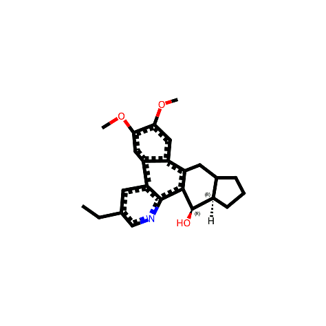 CCc1cnc2c3c(c4cc(OC)c(OC)cc4c2c1)CC1CCC[C@H]1[C@H]3O